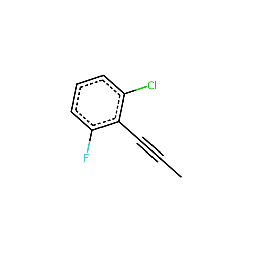 CC#Cc1c(F)cccc1Cl